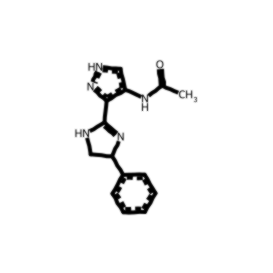 CC(=O)Nc1c[nH]nc1C1=NC(c2ccccc2)CN1